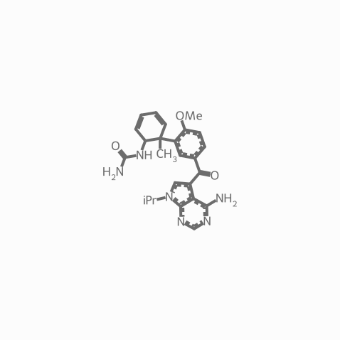 COc1ccc(C(=O)c2cn(C(C)C)c3ncnc(N)c23)cc1C1(C)C=CC=CC1NC(N)=O